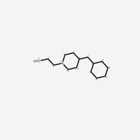 O=CCCN1CCC(CC2CCCCC2)CC1